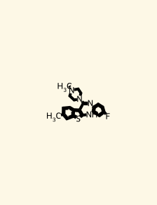 Cc1ccc2c3c(sc2c1)Nc1cc(F)ccc1N=C3N1CCN(C)CC1